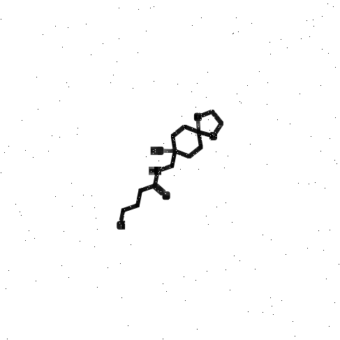 O=C(CCCCl)NCC1(O)CCC2(CC1)OCCO2